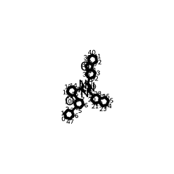 c1ccc(-c2cccc3c2oc2cccc(-c4nc(-c5ccc6ccccc6c5)nc(-c5ccc6c(c5)oc5ccccc56)n4)c23)cc1